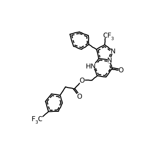 O=C(Cc1ccc(C(F)(F)F)cc1)OCc1cc(=O)n2nc(C(F)(F)F)c(-c3ccccc3)c2[nH]1